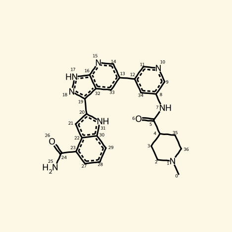 CN1CCC(C(=O)Nc2cncc(-c3cnc4[nH]nc(-c5cc6c(C(N)=O)cccc6[nH]5)c4c3)c2)CC1